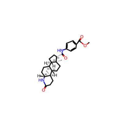 COC(=O)c1ccc(NC(=O)[C@H]2CC[C@H]3[C@@H]4CC[C@H]5NC(=O)CC[C@]5(C)[C@H]4CC[C@]23C)cc1